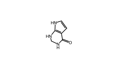 O=C1NCNc2[nH]ccc21